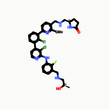 COc1nc(-c2cccc(-c3ccnc(Nc4cccc(CNC[C@H](C)O)c4F)c3Cl)c2Cl)ccc1CNC[C@H]1CCC(=O)N1